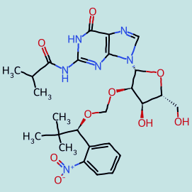 CC(C)C(=O)Nc1nc2c(ncn2[C@@H]2O[C@H](CO)[C@@H](O)[C@H]2OCO[C@@H](c2ccccc2[N+](=O)[O-])C(C)(C)C)c(=O)[nH]1